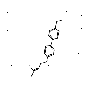 CCc1ccc(-c2ccc(CCC=C(F)F)cc2)cc1